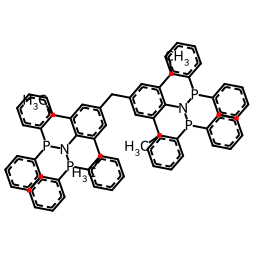 CCc1cc(Cc2cc(CC)c(N(P(c3ccccc3)c3ccccc3)P(c3ccccc3)c3ccccc3)c(CC)c2)cc(CC)c1N(P(c1ccccc1)c1ccccc1)P(c1ccccc1)c1ccccc1